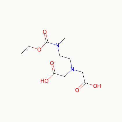 CCOC(=O)N(C)CCN(CC(=O)O)CC(=O)O